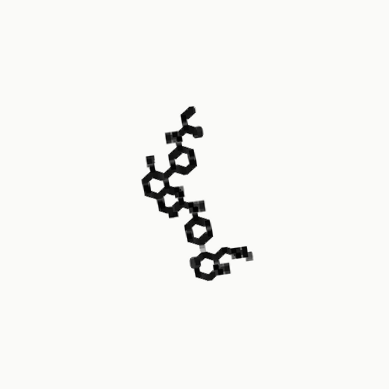 C=CC(=O)Nc1cccc(-c2c(F)ccc3cnc(Nc4ccc([C@H]5OCCNC5CN)cc4)nc23)c1